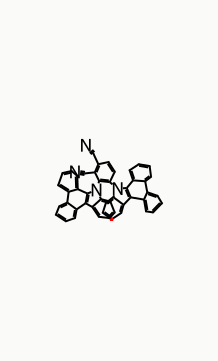 N#Cc1ccc(-n2c3ccccc3c3c4ccccc4c4ccccc4c32)c(-n2c3ccccc3c3c4ccccc4c4ccccc4c32)c1C#N